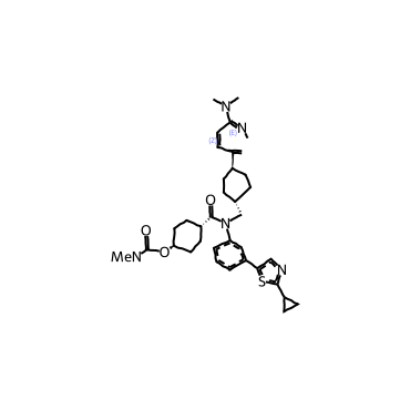 C=C(/C=C\C(=N/C)N(C)C)[C@H]1CC[C@H](CN(c2cccc(-c3cnc(C4CC4)s3)c2)C(=O)[C@H]2CC[C@H](OC(=O)NC)CC2)CC1